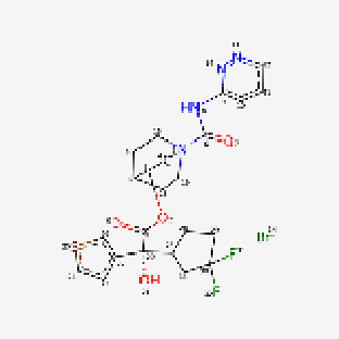 O=C(OC1C[N+]2(C(=O)Nc3cccnn3)CCC1CC2)[C@](O)(c1ccsc1)C1CCC(F)(F)C1.[Br-]